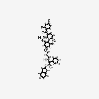 Nc1c(C(=O)c2ccc(F)cc2F)ccc(=O)n1-c1c(F)cc(OCCCN[C@H](C(=O)OC2Cc3ccccc3C2)c2ccccc2)cc1F